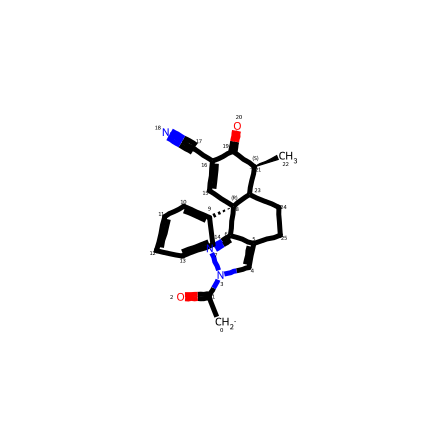 [CH2]C(=O)n1cc2c(n1)[C@@]1(c3ccccc3)C=C(C#N)C(=O)[C@@H](C)C1CC2